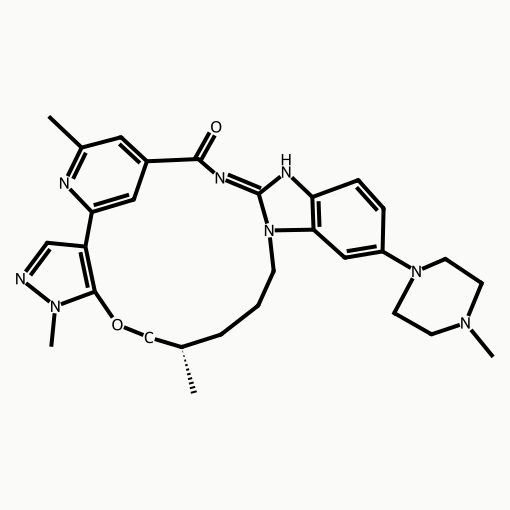 Cc1cc2cc(n1)-c1cnn(C)c1OC[C@@H](C)CCCN1/C(=N/C2=O)Nc2ccc(N3CCN(C)CC3)cc21